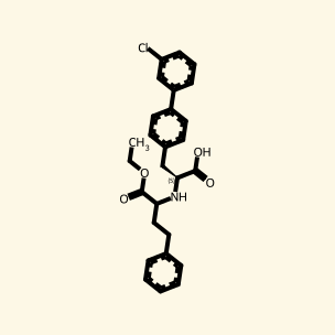 CCOC(=O)C(CCc1ccccc1)N[C@@H](Cc1ccc(-c2cccc(Cl)c2)cc1)C(=O)O